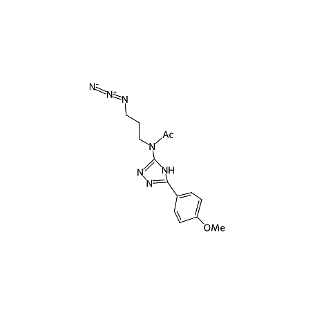 COc1ccc(-c2nnc(N(CCCN=[N+]=[N-])C(C)=O)[nH]2)cc1